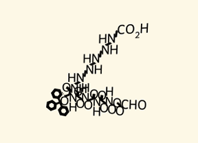 C[C@@H](OC(c1ccccc1)(c1ccccc1)c1ccccc1)C(NC(=O)C(=O)NC(=O)C(=O)NC(=O)C(=O)NC(=O)OC(=O)C=O)C(=O)NCCNCCNCCNCCNCCNCCC(=O)O